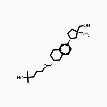 CC(C)(O)CCCOC[C@@H]1CCc2cc([C@H]3CC[C@](N)(CO)C3)ccc2C1